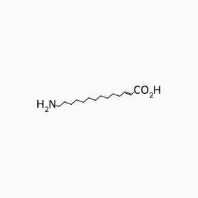 NCCCCCCCCCCCC=CC(=O)O